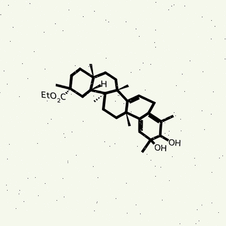 CCOC(=O)[C@]1(C)CC[C@]2(C)CC[C@]3(C)C4=CCC5=C(C)C(O)C(C)(O)C=C5[C@]4(C)CC[C@@]3(C)[C@@H]2C1